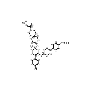 CCOC(=O)c1ccc(N2CCN(CC3=C(c4ccc(Cl)cc4)CCC(C)(CN4CCC5(CC4)CCN(C(=O)OC(C)(C)C)CC5)C3)CC2)cc1